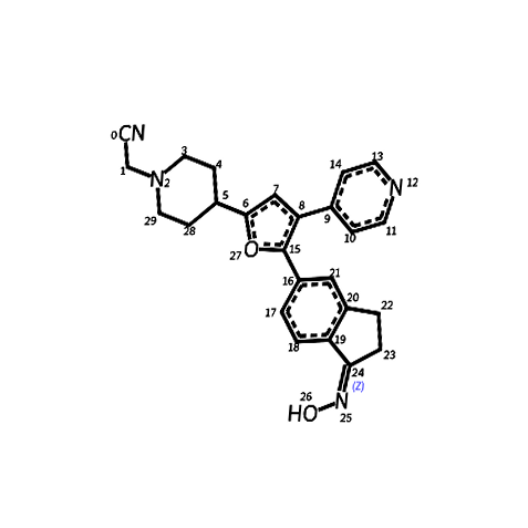 N#CCN1CCC(c2cc(-c3ccncc3)c(-c3ccc4c(c3)CC/C4=N/O)o2)CC1